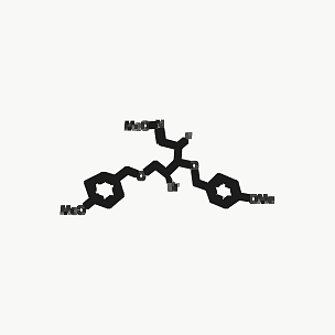 CON=CC(F)C(OCc1ccc(OC)cc1)[C@@H](Br)COCc1ccc(OC)cc1